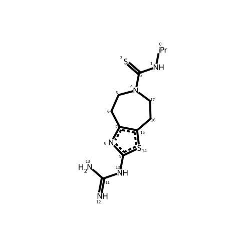 CC(C)NC(=S)N1CCc2nc(NC(=N)N)sc2CC1